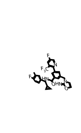 Cc1cc([C@@H](NC(=O)c2cc(Cn3ccoc3=N)cc(-c3ncc(F)cc3C(F)(F)F)c2)C2CC2)ccc1F